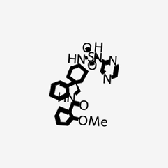 COc1ccccc1C(=O)NC[C@]1(c2ccccc2)CC[C@H](NS(=O)(=O)Nc2cnccn2)CC1